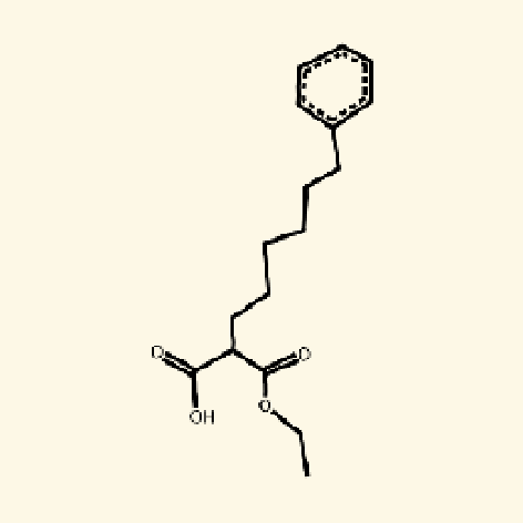 CCOC(=O)C(CCCCCCc1ccccc1)C(=O)O